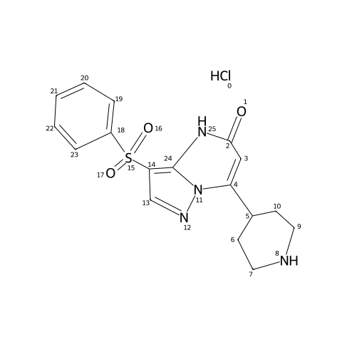 Cl.O=c1cc(C2CCNCC2)n2ncc(S(=O)(=O)c3ccccc3)c2[nH]1